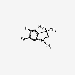 CN1CC(C)(C)c2cc(F)c(Br)cc21